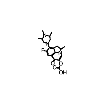 CC1CN(c2c(F)cc3c(=O)c(OC(=O)O)cn4c3c2CC4C)CC(C)N1C